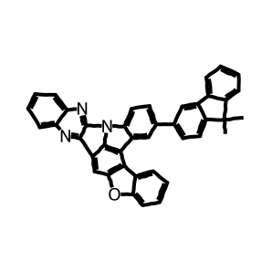 CC1(C)c2ccccc2-c2cc(-c3ccc4c(c3)c3c5c(cc6c7nc8ccccc8nc7n4c63)oc3ccccc35)ccc21